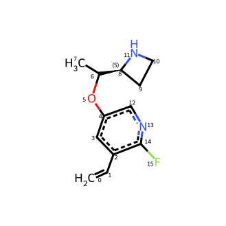 C=Cc1cc(OC(C)[C@@H]2CCN2)cnc1F